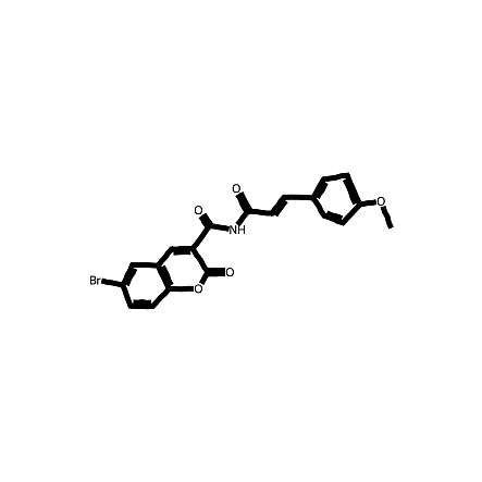 COc1ccc(C=CC(=O)NC(=O)c2cc3cc(Br)ccc3oc2=O)cc1